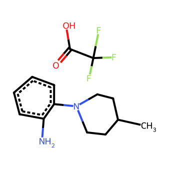 CC1CCN(c2ccccc2N)CC1.O=C(O)C(F)(F)F